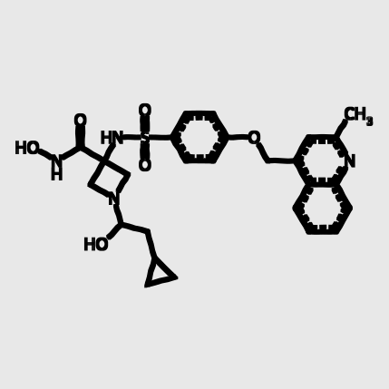 Cc1cc(COc2ccc(S(=O)(=O)NC3(C(=O)NO)CN(C(O)CC4CC4)C3)cc2)c2ccccc2n1